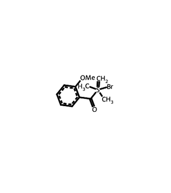 C=S(C)(C)(Br)C(=O)c1ccccc1OC